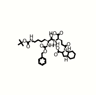 CC(C)(C)OC(=O)NCCCC[C@H](NC(=O)OCc1ccccc1)C(=O)N[C@H](CCC(=O)N1C(C(=O)O)C[C@@H]2CCCC[C@@H]21)C(=O)O